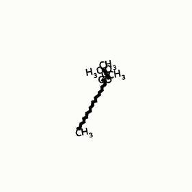 CCCCCCCCCCCCCCCCCCCC(=O)OC(C)OC(=O)C(C)C